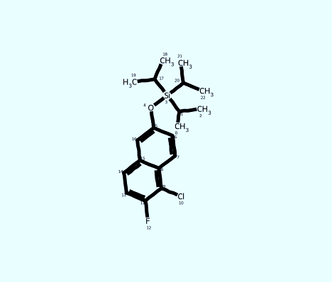 CC(C)[Si](Oc1ccc2c(Cl)c(F)ccc2c1)(C(C)C)C(C)C